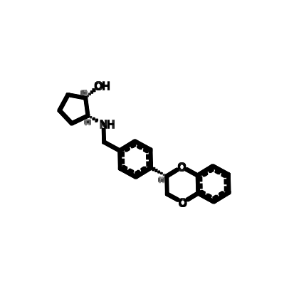 O[C@H]1CCC[C@H]1NCc1ccc([C@H]2COc3ccccc3O2)cc1